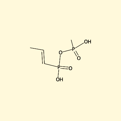 CC=CP(=O)(O)OP(C)(=O)O